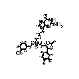 C=C1OC(COP(=O)(COCCn2cnc3c(=O)[nH]c(N)nc32)OCc2cccc(Cl)c2)=C(c2ccc(C)c(F)c2)O1